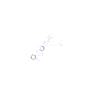 Nc1ccccc1NC(=O)c1ccc(C(CCCCCN2CCOCC2)NC(=O)NN2CCCC2)cn1